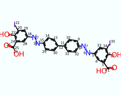 O=C(O)c1cc(/N=N/c2ccc(-c3ccc(/N=N/c4cc(I)c(O)c(C(=O)O)c4)cc3)cc2)cc(I)c1O